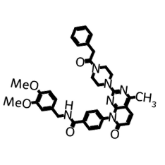 COc1ccc(CNC(=O)c2ccc(-n3c(=O)ccc4c(C)nc(N5CCN(C(=O)Cc6ccccc6)CC5)nc43)cc2)cc1OC